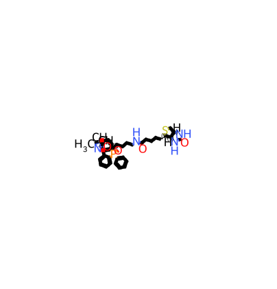 CC(C)(C)/N=C(\OCCCCCNC(=O)CCCC[C@@H]1SC[C@@H]2NC(=O)N[C@@H]21)c1ccccc1P(=O)(c1ccccc1)c1ccccc1